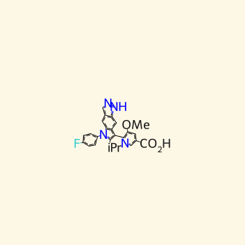 COc1cc(C(=O)O)cnc1-c1c(C(C)C)n(-c2ccc(F)cc2)c2cc3cn[nH]c3cc12